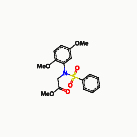 COC(=O)CN(c1cc(OC)ccc1OC)S(=O)(=O)c1ccccc1